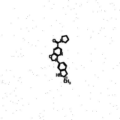 C[C@H]1Cc2ccc(N3COc4cc(C(=O)N5CCCC5)cnc43)cc2N1